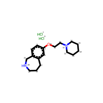 Cl.Cl.c1cc2c(cc1OCCN1CCCCC1)CCCNC2